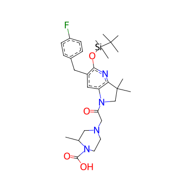 CC1CN(CC(=O)N2CC(C)(C)c3nc(O[Si](C)(C)C(C)(C)C)c(Cc4ccc(F)cc4)cc32)CCN1C(=O)O